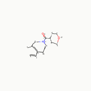 C=CC1=C(C)CN(C(=O)C2CCOCC2)CC1